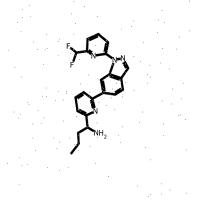 CCCC(N)c1cccc(-c2ccc3cnn(-c4cccc(C(F)F)n4)c3c2)n1